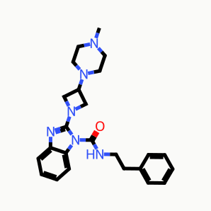 CN1CCN(C2CN(c3nc4ccccc4n3C(=O)NCCc3ccccc3)C2)CC1